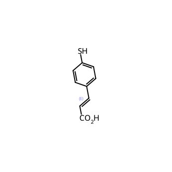 O=C(O)/C=C/c1ccc(S)cc1